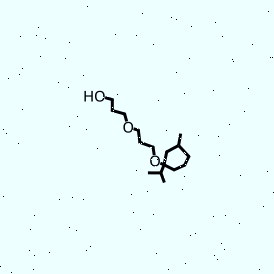 CC1CCCC(OCCCOCCCO)(C(C)C)C1